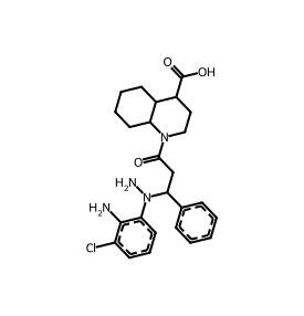 Nc1c(Cl)cccc1N(N)C(CC(=O)N1CCC(C(=O)O)C2CCCCC21)c1ccccc1